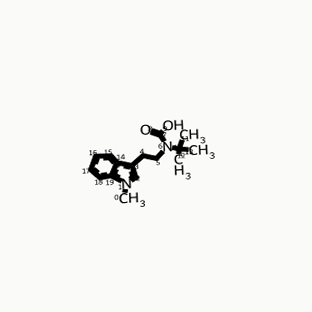 Cn1cc(CCN(C(=O)O)C(C)(C)C)c2ccccc21